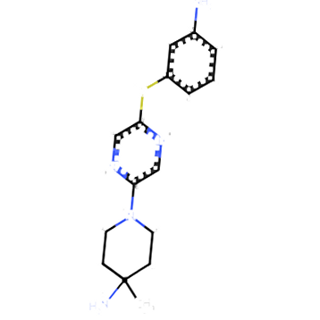 CC1(N)CCN(c2cnc(Sc3cccc(N)c3)cn2)CC1